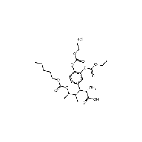 CCCCCOC(=O)O[C@H](C)[C@H](C)C(c1ccc(OC(=O)OCC)c(OC(=O)OCC)c1)[C@H](N)C(=O)O.Cl